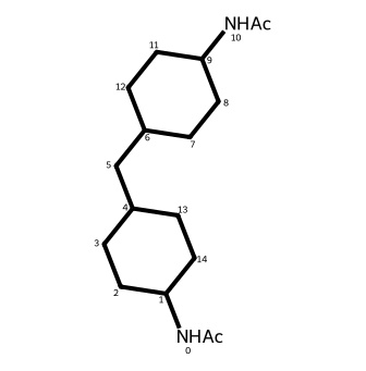 CC(=O)NC1CCC(CC2CCC(NC(C)=O)CC2)CC1